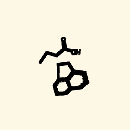 CCCC(=O)O.c1cc2c3c(cccc3c1)CC2